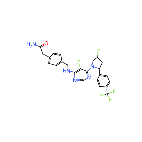 NC(=O)Cc1ccc(CNc2ncnc(N3C[C@@H](F)C[C@H]3c3ccc(C(F)(F)F)cc3)c2F)cc1